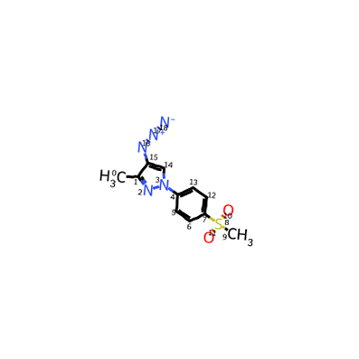 Cc1nn(-c2ccc(S(C)(=O)=O)cc2)cc1N=[N+]=[N-]